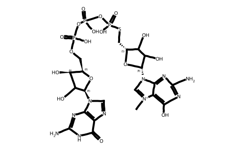 C[n+]1cn([C@@H]2O[C@H](CSP(=O)(O)OP(=O)(O)OP(=O)(O)OC[C@H]3O[C@@H](n4cnc5c(=O)[nH]c(N)nc54)C(O)[C@H]3O)C(O)C2O)c2nc(N)nc(O)c21